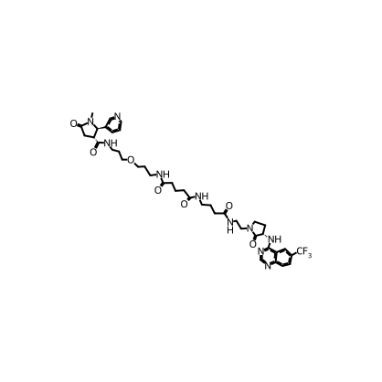 CN1C(=O)C[C@@H](C(=O)NCCCOCCCNC(=O)CCCC(=O)NCCCC(=O)NCCN2CC[C@H](Nc3ncnc4ccc(C(F)(F)F)cc34)C2=O)[C@@H]1c1cccnc1